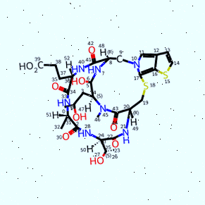 C[C@H](O)C[C@H]1C(O)N[C@@H]2Cn3cc4ccsc4c3SC[C@H](NC(=O)[C@@H]([C@H](C)O)NC(=O)[C@H](C)NC(=O)[C@H](CCC(=O)O)NC2=O)C(=O)N1C